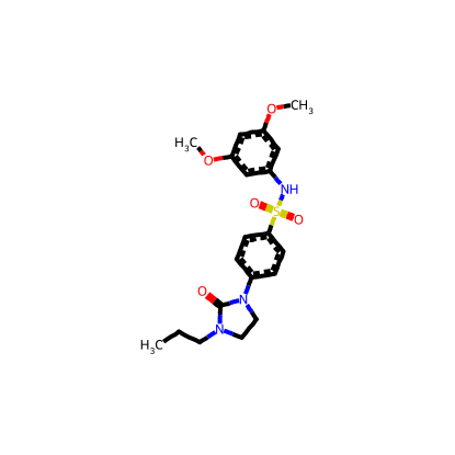 CCCN1CCN(c2ccc(S(=O)(=O)Nc3cc(OC)cc(OC)c3)cc2)C1=O